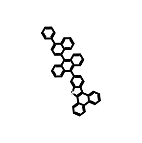 c1ccc(-c2ccc(-c3c4ccccc4c(-c4ccc5c(c4)sc4c6ccccc6c6ccccc6c54)c4ccccc34)c3ccccc23)cc1